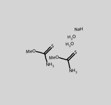 COC(N)=S.COC(N)=S.O.O.[NaH]